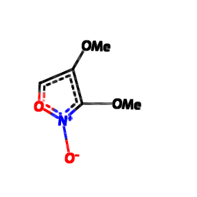 COc1co[n+]([O-])c1OC